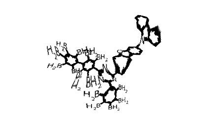 Bc1c(B)c(B)c(-c2nc(-c3ccc4c(c3)oc3cc(-n5c6ccccc6c6ccccc65)ccc34)nc(-c3c(B)c(B)c(-c4c(B)c(B)c(B)c(B)c4B)c(B)c3B)n2)c(B)c1B